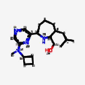 CC(C)CC1CCCC(c2cncc(N(C)C3CCC3)n2)NC1CO